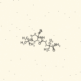 CC(C)(C[CH]C(=O)NC1(C#N)CCN(C(C)(C)C)CC1)C(N)=O